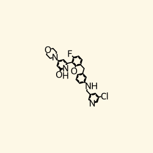 O=c1cc(N2CCOCC2)cc(-c2c(F)ccc3c2Oc2ccc(NCc4cncc(Cl)c4)cc2C3)[nH]1